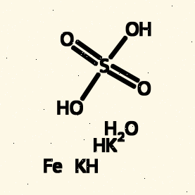 O.O=S(=O)(O)O.[Fe].[KH].[KH]